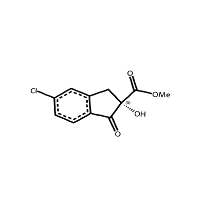 COC(=O)[C@]1(O)Cc2cc(Cl)ccc2C1=O